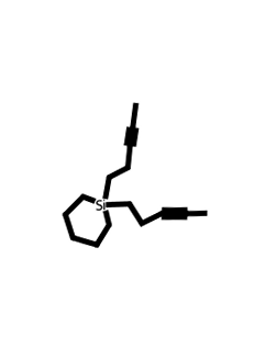 CC#CCC[Si]1(CCC#CC)CCCCC1